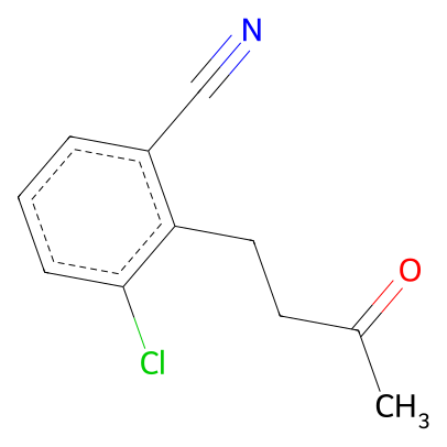 CC(=O)CCc1c(Cl)cccc1C#N